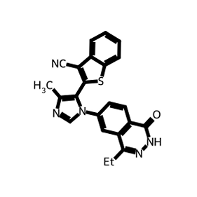 CCc1n[nH]c(=O)c2ccc(-n3cnc(C)c3-c3sc4ccccc4c3C#N)cc12